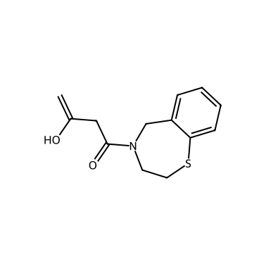 C=C(O)CC(=O)N1CCSc2ccccc2C1